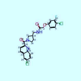 O=C(COc1ccc(Cl)c(F)c1)NCC1CCN(C(=O)c2ccc3cc(Cl)ccc3n2)C1